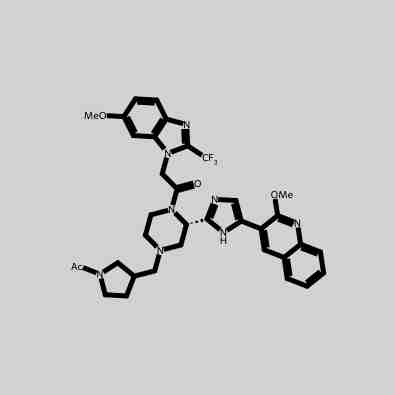 COc1ccc2nc(C(F)(F)F)n(CC(=O)N3CCN(CC4CCN(C(C)=O)C4)C[C@H]3c3ncc(-c4cc5ccccc5nc4OC)[nH]3)c2c1